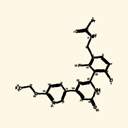 CC(C)C(=O)NCc1ccc(Cl)c(-c2nc(-c3ccc(OCC(F)(F)F)nc3)cc(=O)[nH]2)c1F